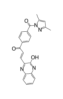 Cc1cc(C)n(C(=O)c2ccc(C(=O)C=Cc3nc4ccccc4nc3O)cc2)n1